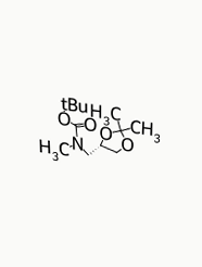 CN(C[C@H]1COC(C)(C)O1)C(=O)OC(C)(C)C